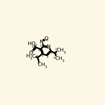 CC(C)c1cc(C(C)C)c(C(=O)O)c(N=O)n1